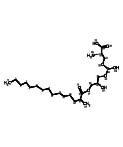 CCCCCCCCCCCCCC(C)C(=O)OC[C@H](O)COP(O)OC[C@H](N)C(=O)O